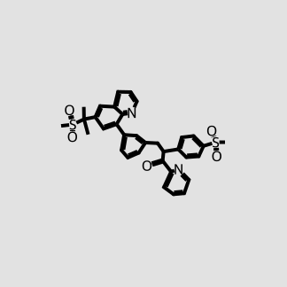 CC(C)(c1cc(-c2cccc(CC(C(=O)c3ccccn3)c3ccc(S(C)(=O)=O)cc3)c2)c2ncccc2c1)S(C)(=O)=O